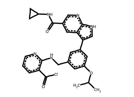 CC(C)Oc1cc(CNc2ncccc2C(=O)Cl)cc(-c2c[nH]c3ncc(C(=O)NC4CC4)cc23)c1